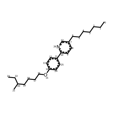 CCCCCCCc1ccc(-c2ccc(OCCCCC(C)CC)cc2)nc1